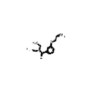 C=CCOc1cccc(C(=O)N(CC)CC)c1